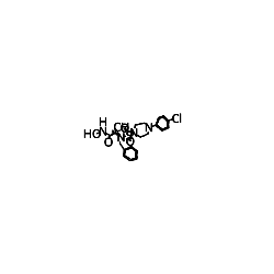 C[C@H](C(=O)NO)N(Cc1ccccc1)S(=O)(=O)N1CCN(c2ccc(Cl)cc2)CC1